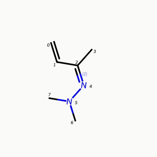 C=C/C(C)=N\N(C)C